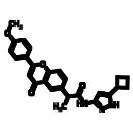 COc1ccc(-c2cc(=O)c3cc(C(C)C(=O)Nc4cc(C5CCC5)[nH]n4)ccc3o2)cc1